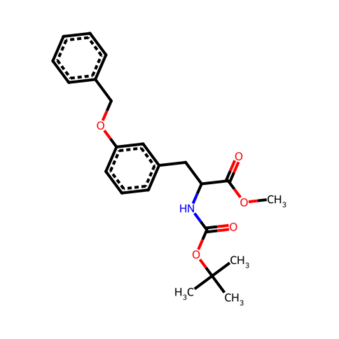 COC(=O)C(Cc1cccc(OCc2ccccc2)c1)NC(=O)OC(C)(C)C